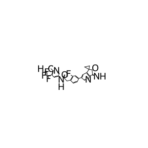 Cc1ncc(NC(=O)Cc2ccc(-c3cnc4c(c3)C3(CC3)C(=O)C4=N)cc2F)cc1C(F)(F)F